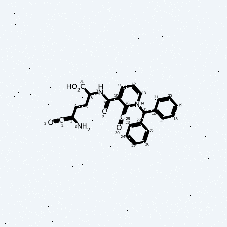 NC(=C=O)CCC(NC(=O)C1=CC=CN(C(c2ccccc2)c2ccccc2)C1=C=O)C(=O)O